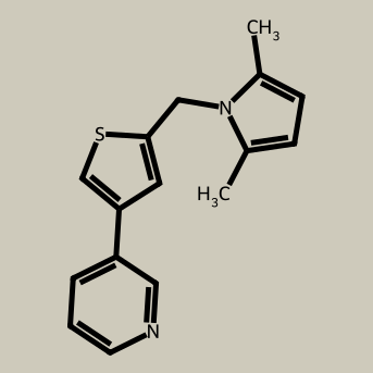 Cc1ccc(C)n1Cc1cc(-c2cccnc2)cs1